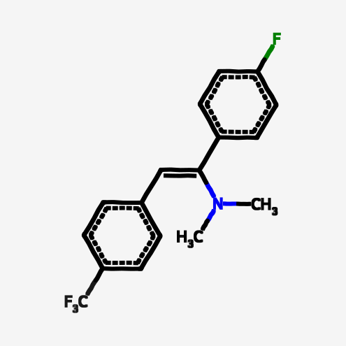 CN(C)C(=Cc1ccc(C(F)(F)F)cc1)c1ccc(F)cc1